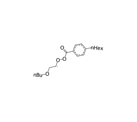 CCCCCCc1ccc(C(=O)OO[CH]COCCCC)cc1